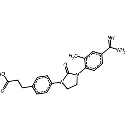 Cc1cc(C(=N)N)ccc1N1CCN(c2ccc(CCC(=O)O)cc2)C1=O